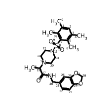 Cc1cc(C)c(C)c(S(=O)(=O)N2CCN(C(C)C(=O)NCc3ccc4c(c3)OCO4)CC2)c1C